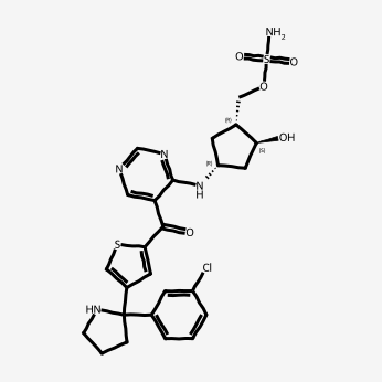 NS(=O)(=O)OC[C@H]1C[C@@H](Nc2ncncc2C(=O)c2cc(C3(c4cccc(Cl)c4)CCCN3)cs2)C[C@@H]1O